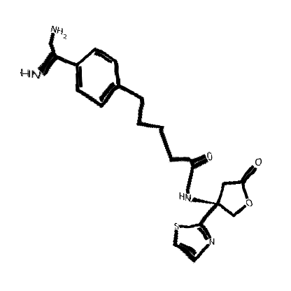 N=C(N)c1ccc(CCCCC(=O)N[C@]2(c3nccs3)COC(=O)C2)cc1